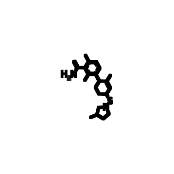 C=C(N)c1c(C)ccc(C2CCC(SN3CCC(C)C3)C=C2C)c1C